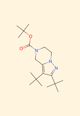 CC(C)(C)OC(=O)N1CCn2nc(C(C)(C)C)c(C(C)(C)C)c2C1